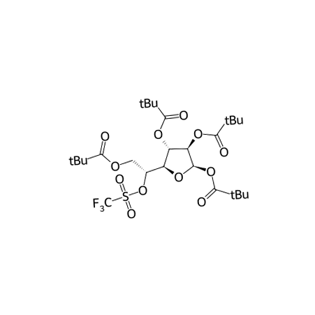 CC(C)(C)C(=O)OC[C@@H](OS(=O)(=O)C(F)(F)F)[C@@H]1O[C@H](OC(=O)C(C)(C)C)[C@H](OC(=O)C(C)(C)C)[C@H]1OC(=O)C(C)(C)C